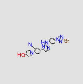 N#Cc1cc(-c2ccnc(Nc3ccc(-n4cnc(Br)n4)cc3)n2)ccc1N1CCC(O)CC1